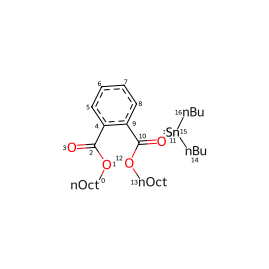 CCCCCCCCOC(=O)c1ccccc1C(=O)OCCCCCCCC.CCC[CH2][Sn][CH2]CCC